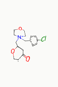 O=C1[CH]COC(C[N+]2(Cc3ccc(Cl)cc3)CCOCC2)C1